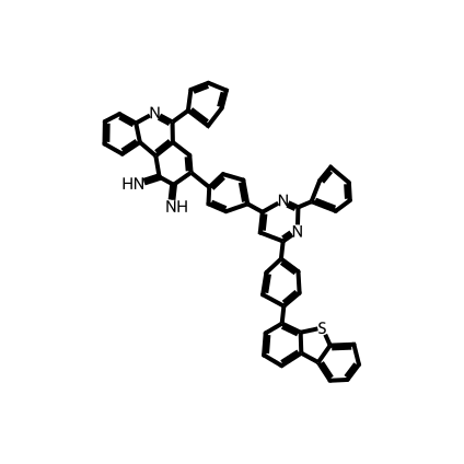 N=C1C(=N)c2c(c(-c3ccccc3)nc3ccccc23)C=C1c1ccc(-c2cc(-c3ccc(-c4cccc5c4sc4ccccc45)cc3)nc(-c3ccccc3)n2)cc1